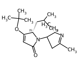 CC1=N[C@@H](C)C(N2C(=O)C=C(OC(C)(C)C)[C@@H]2CC(C)C)C1